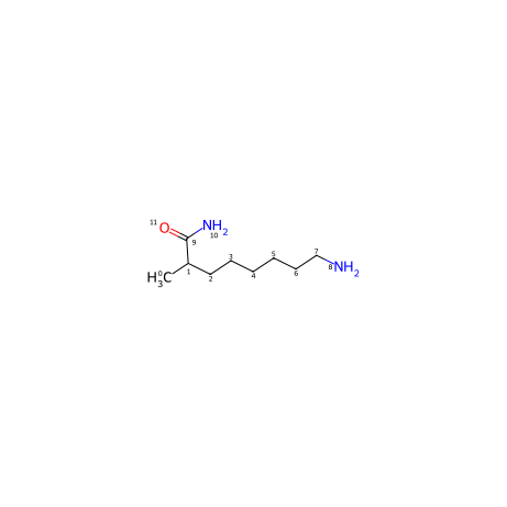 CC(CCCCCCN)C(N)=O